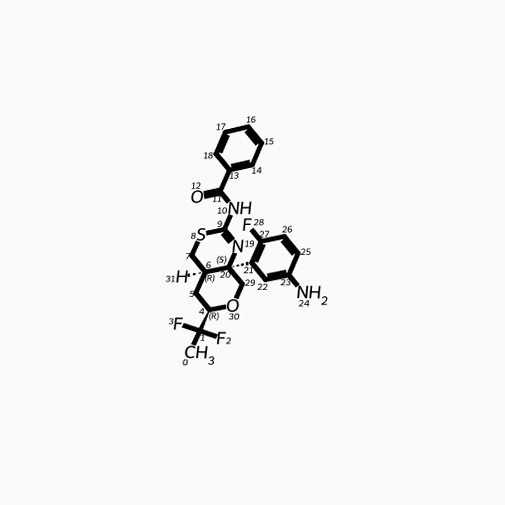 CC(F)(F)[C@H]1C[C@H]2CSC(NC(=O)c3ccccc3)=N[C@@]2(c2cc(N)ccc2F)CO1